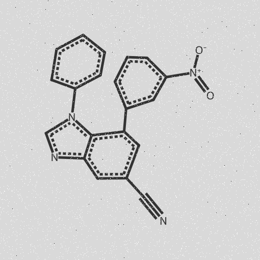 N#Cc1cc(-c2cccc([N+](=O)[O-])c2)c2c(c1)ncn2-c1ccccc1